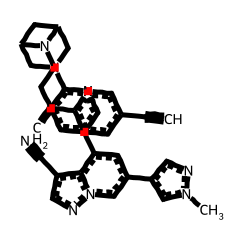 C#Cc1ccc(C(=C)CCN2C3CC2CN(c2ccc(-c4cc(-c5cnn(C)c5)cn5ncc(C#N)c45)cn2)C3)nc1